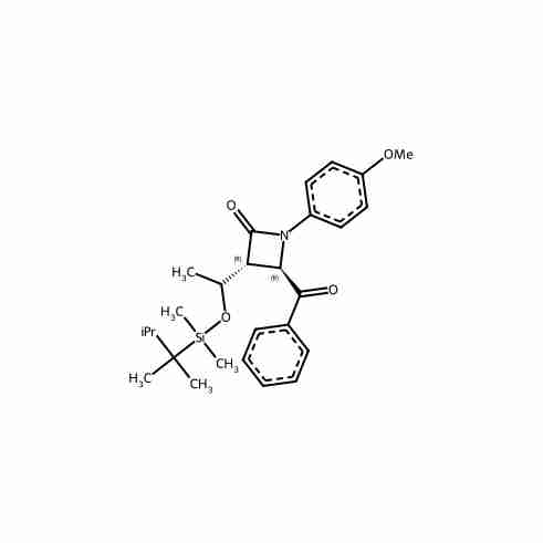 COc1ccc(N2C(=O)[C@@H](C(C)O[Si](C)(C)C(C)(C)C(C)C)[C@@H]2C(=O)c2ccccc2)cc1